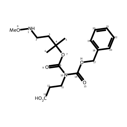 CONCCC(C)(C)OC(=O)N(CCC(=O)O)C(=O)OCc1ccccc1